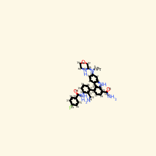 CCCN(c1ccc2c(c1)[nH]c1c(C(N)=O)ccc(-c3cccc(NC(=O)c4ccc(F)cc4)c3CN)c12)C1COCCN1